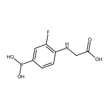 O=C(O)CNc1ccc(B(O)O)cc1F